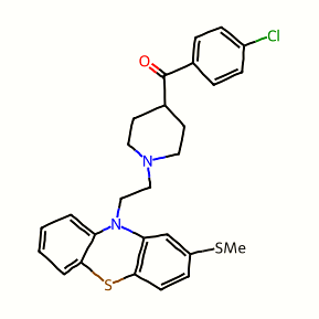 CSc1ccc2c(c1)N(CCN1CCC(C(=O)c3ccc(Cl)cc3)CC1)c1ccccc1S2